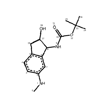 CNc1ccc2c(c1)C(NC(=O)OC(C)(C)C)C(O)C2